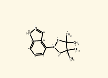 CC1(C)OB(c2cncc3[nH]ncc23)OC1(C)C